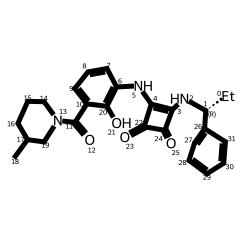 CC[C@@H](Nc1c(Nc2cccc(C(=O)N3CCCC(C)C3)c2O)c(=O)c1=O)c1ccccc1